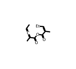 CC=C=C(C)C(=O)OC(=O)C(C)=CCC